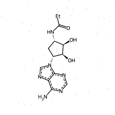 CCC(=O)N[C@H]1C[C@@H](n2cnc3c(N)ncnc32)[C@H](O)[C@@H]1O